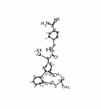 CCOC(C(=O)NCc1ccc(C(=N)N)cc1)n1cc(C)c(-c2ccccc2OCC(=O)OC(C)=O)n1